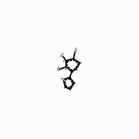 Clc1ccc(-c2ccco2)c(Cl)c1Cl